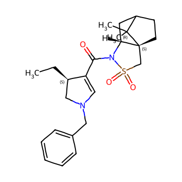 CC[C@@H]1CN(Cc2ccccc2)C=C1C(=O)N1[C@@H]2CC3CC[C@]2(CS1(=O)=O)C3(C)C